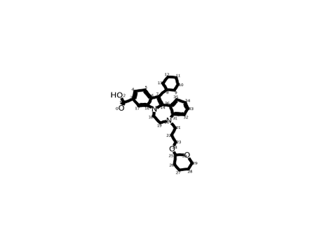 O=C(O)c1ccc2c(C3CCCCC3)c3n(c2c1)CCN(CCCOC1CCCCO1)c1ccccc1-3